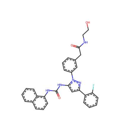 O=C(Cc1cccc(-n2nc(-c3ccccc3F)cc2NC(=O)Nc2cccc3ccccc23)c1)NCCO